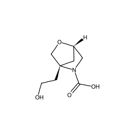 O=C(O)N1C[C@@H]2C[C@@]1(CCO)CO2